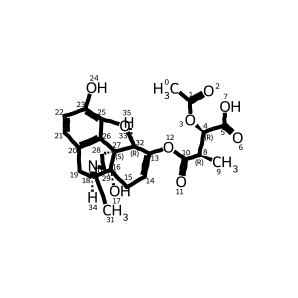 CC(=O)O[C@@H](C(=O)O)[C@@H](C)C(=O)OC1=CC[C@@]2(O)[C@H]3Cc4ccc(O)c5c4[C@@]2(CCN3C)[C@H]1O5